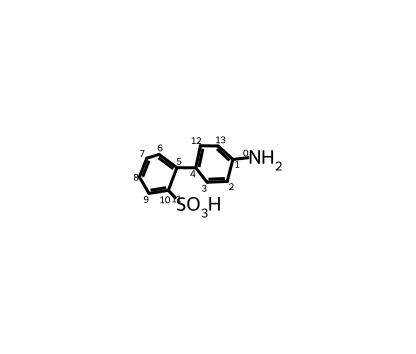 Nc1ccc(-c2ccccc2S(=O)(=O)O)cc1